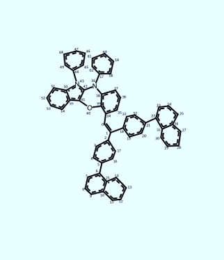 C(=C(c1ccc(-c2cccc3ccccc23)cc1)c1ccc(-c2cccc3ccccc23)cc1)c1cccc2c1Oc1c(n(-c3ccccc3)c3ccccc13)N2c1ccccc1